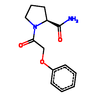 NC(=O)[C@@H]1CCCN1C(=O)COc1ccccc1